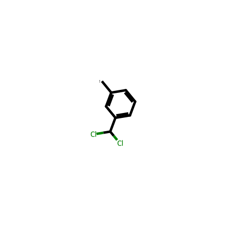 [CH]c1cccc(C(Cl)Cl)c1